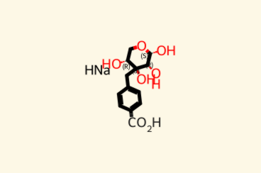 O=C(O)c1ccc(C[C@]2(O)[C@H](O)CO[C@H](O)[C@@H]2O)cc1.[NaH]